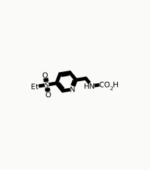 CCS(=O)(=O)c1ccc(CNC(=O)O)nc1